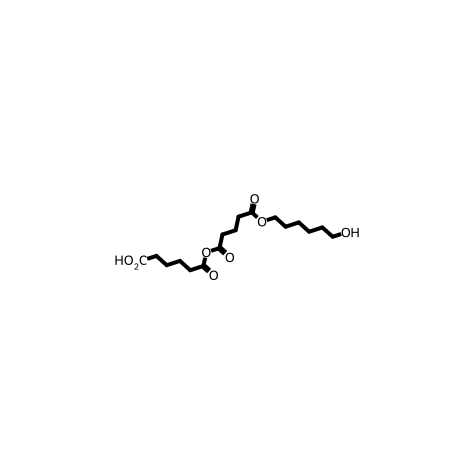 O=C(O)CCCCC(=O)OC(=O)CCCC(=O)OCCCCCCO